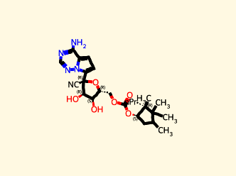 CCC[C@@]1(C)[C@@H](OC(=O)OC[C@H]2O[C@@](C#N)(c3ccc4c(N)ncnn34)[C@H](O)[C@@H]2O)CC(C)C1(C)C